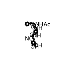 CC(=O)N[C@H](COCc1ccccc1)C(=O)Nc1ccc(NC(=O)C(C#N)=Cc2ccc(O)c(O)c2)cc1